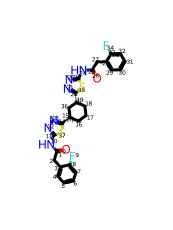 O=C(Cc1ccccc1F)Nc1nnc([C@@H]2CCC[C@@H](c3nnc(NC(=O)Cc4ccccc4F)s3)C2)s1